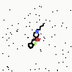 Br.CCCCCN1CCC(CCc2ccccc2F)CC1